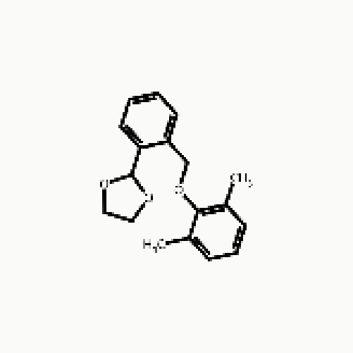 Cc1cccc(C)c1OCc1ccccc1C1OCCO1